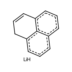 C1=Cc2cccc3cccc(c23)C1.[LiH]